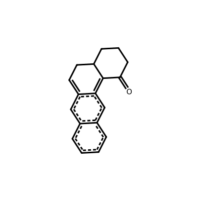 O=C1CCCC2CC=c3cc4ccccc4cc3=C12